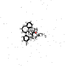 CN(C)CCC[C@]1(OC(=O)C(=O)O)c2ccccc2CCC[C@@H]1c1ccc(F)cc1